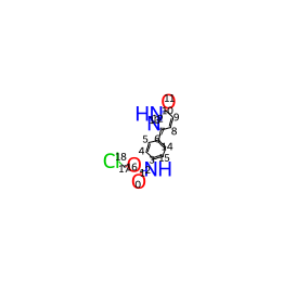 O=C(Nc1ccc(-c2ccc(=O)[nH]n2)cc1)OCCl